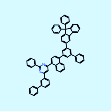 c1ccc(-c2cccc(-c3cc(-c4ccc(-c5cc(-c6ccccc6)cc(-c6ccc7c(c6)-c6ccccc6C7(c6ccccc6)c6ccccc6)c5)c5ccccc45)nc(-c4ccccc4)n3)c2)cc1